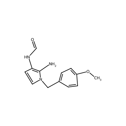 COc1ccc(Cn2ccc(NC=O)c2N)cc1